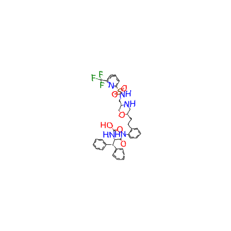 O=C(O)N[C@H](C(=O)Nc1ccccc1CC[C@@H]1CN[C@H](CNS(=O)(=O)c2cccc(C(F)(F)F)n2)CO1)C(c1ccccc1)c1ccccc1